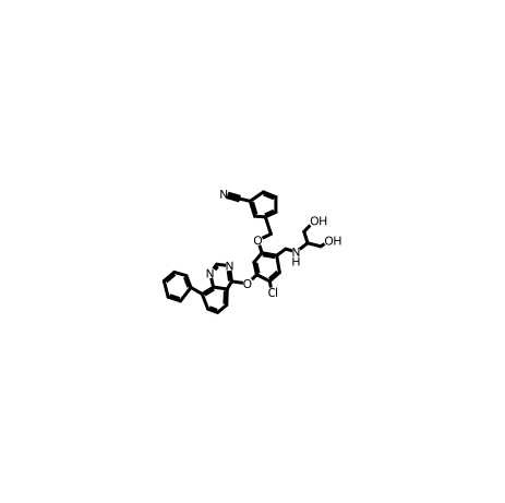 N#Cc1cccc(COc2cc(Oc3ncnc4c(-c5ccccc5)cccc34)c(Cl)cc2CNC(CO)CO)c1